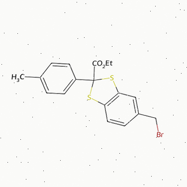 CCOC(=O)C1(c2ccc(C)cc2)Sc2ccc(CBr)cc2S1